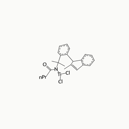 CCCC(=O)[N]([Ti]([Cl])[Cl])C(C)(C)c1ccccc1C1C(C)=Cc2ccccc21